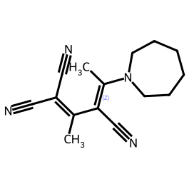 CC(=C(C#N)C#N)/C(C#N)=C(\C)N1CCCCCC1